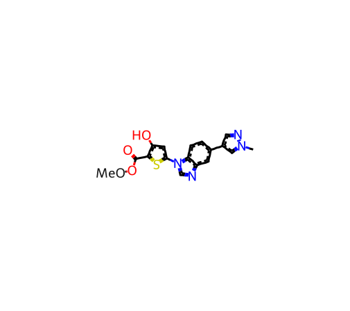 COOC(=O)c1sc(-n2cnc3cc(-c4cnn(C)c4)ccc32)cc1O